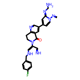 C=Nn1ccc(-c2cnc3c(c2)C(=O)N(/C(C=N)=C/NCc2ccc(F)cc2)CC3)c/c1=N/CN